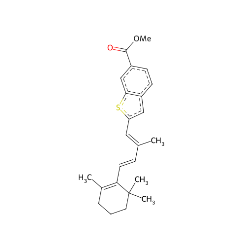 COC(=O)c1ccc2cc(/C=C(\C)C=CC3=C(C)CCCC3(C)C)sc2c1